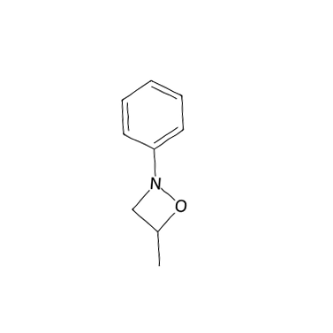 CC1CN(c2ccccc2)O1